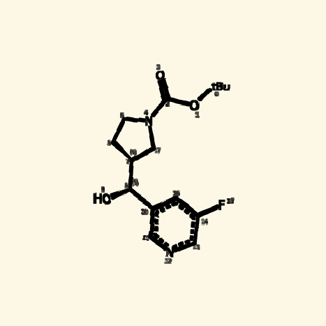 CC(C)(C)OC(=O)N1CC[C@H]([C@H](O)c2cncc(F)c2)C1